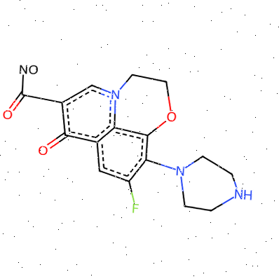 O=NC(=O)c1cn2c3c(c(N4CCNCC4)c(F)cc3c1=O)OCC2